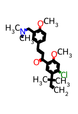 C=CC(C)(C)c1cc(C(=O)/C=C/c2ccc(OC)c(CN(C)C)c2)c(OC)cc1Cl